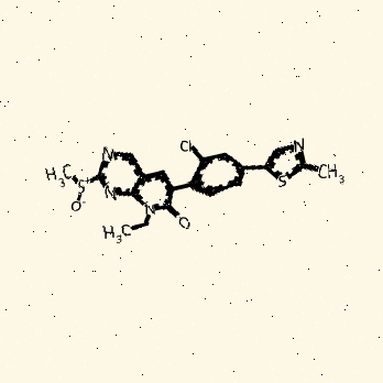 CCn1c(=O)c(-c2ccc(-c3cnc(C)s3)cc2Cl)cc2cnc([S+](C)[O-])nc21